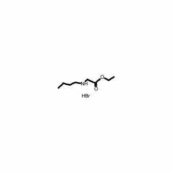 Br.CCCCNCC(=O)OCC